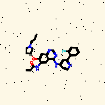 C=CC(=O)Nc1cc2c(Nc3ccnc(-c4ccccc4F)c3)ncnc2cc1O[C@@H]1CCN(CCC)C1